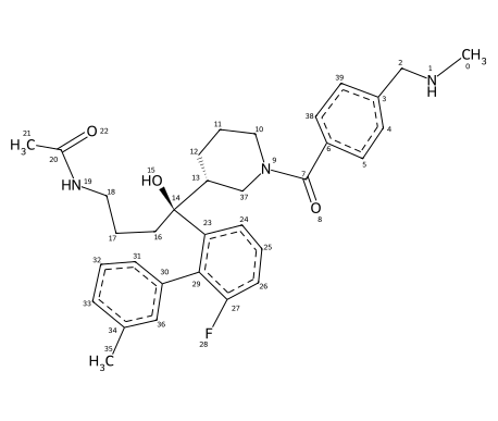 CNCc1ccc(C(=O)N2CCC[C@@H]([C@@](O)(CCCNC(C)=O)c3cccc(F)c3-c3cccc(C)c3)C2)cc1